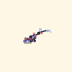 CCC(C)C(C(CC(=O)N1CCCC1C(OC)C(C)C(=O)N[C@@H](Cc1ccccc1)C(=O)NCCc1ccc(NC(=O)CCCCCN)cc1)OC)N(C)C(=O)[C@@H](NC(=O)CN(C)C)C(C)C